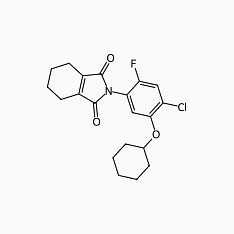 O=C1C2=C(CCCC2)C(=O)N1c1cc(OC2CCCCC2)c(Cl)cc1F